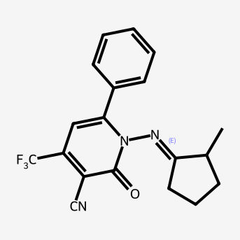 CC1CCC/C1=N\n1c(-c2ccccc2)cc(C(F)(F)F)c(C#N)c1=O